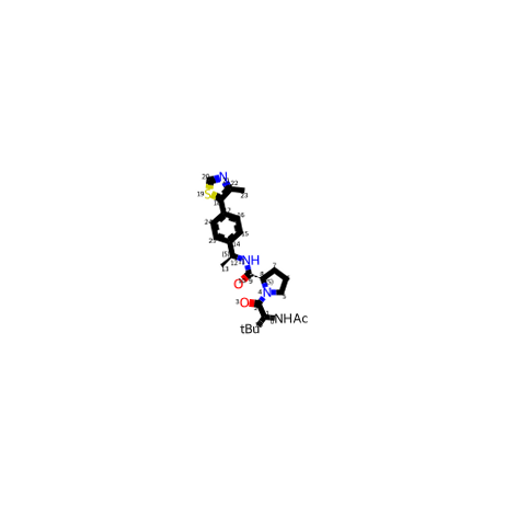 CC(=O)NC(C(=O)N1CCC[C@H]1C(=O)N[C@@H](C)c1ccc(-c2scnc2C)cc1)C(C)(C)C